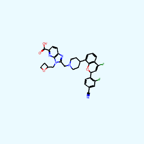 N#Cc1ccc(C2C=C(F)c3cccc(C4CCN(Cc5nc6ccc(C(=O)O)nc6n5CC5CCO5)CC4)c3O2)c(F)c1